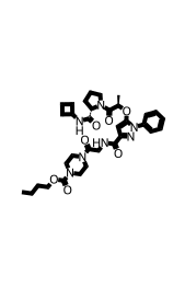 CCCCOC(=O)N1CCN(C(=O)CNC(=O)c2cc(O[C@H](C)C(=O)N3CCC[C@H]3C(=O)NC3CCC3)n(-c3ccccc3)n2)CC1